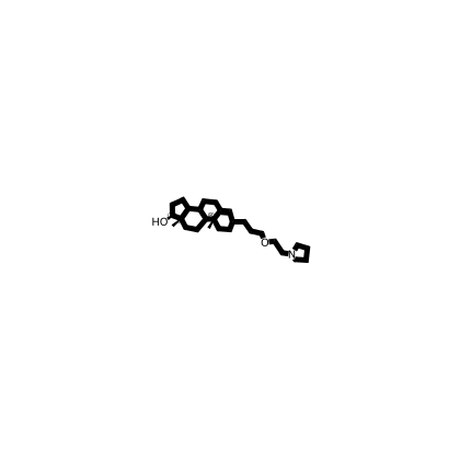 C[C@]12CCC(CCCOCCN3CCCC3)C=C1CCC1C2CC[C@@]2(C)C1CC[C@@H]2O